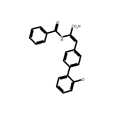 O=C(O)/C(=C/c1ccc(-c2ccccc2Cl)cc1)NC(=O)c1ccccc1